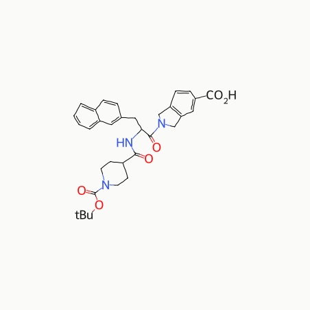 CC(C)(C)OC(=O)N1CCC(C(=O)NC(Cc2ccc3ccccc3c2)C(=O)N2Cc3ccc(C(=O)O)cc3C2)CC1